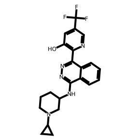 Oc1cc(C(F)(F)F)cnc1-c1nnc(NC2CCCN(C3CC3)C2)c2ccccc12